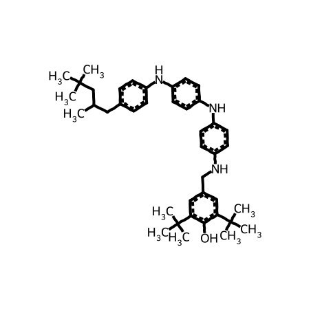 CC(Cc1ccc(Nc2ccc(Nc3ccc(NCc4cc(C(C)(C)C)c(O)c(C(C)(C)C)c4)cc3)cc2)cc1)CC(C)(C)C